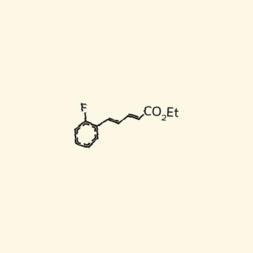 CCOC(=O)/C=C/C=C/c1ccccc1F